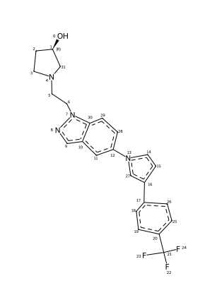 O[C@@H]1CCN(CCn2ncc3cc(-n4ccc(-c5ccc(C(F)(F)F)cc5)c4)ccc32)C1